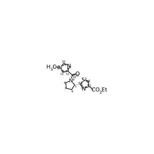 CCOC(=O)c1csc([C@@H]2CCCN2C(=O)c2cn(C)cn2)n1